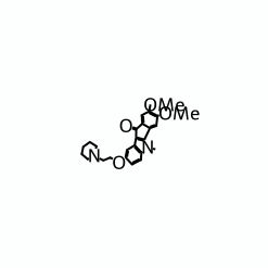 COc1cc2c(cc1OC)-c1c(c3cc(OCCN4CCCCC4)ccc3n1C)C2=O